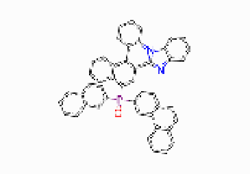 O=P(c1ccc2ccccc2c1)(c1ccc2ccc3ccccc3c2c1)c1cc2c(c3ccccc13)c1ccccc1n1c3ccccc3nc21